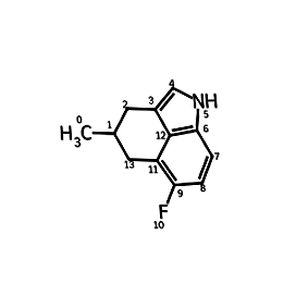 CC1Cc2c[nH]c3ccc(F)c(c23)C1